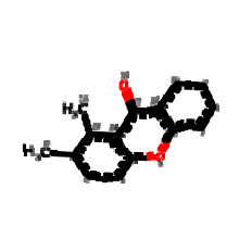 Cc1ccc2oc3ccccc3c(=O)c2c1C